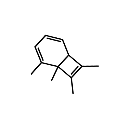 CC1=CC=CC2C(C)=C(C)C12C